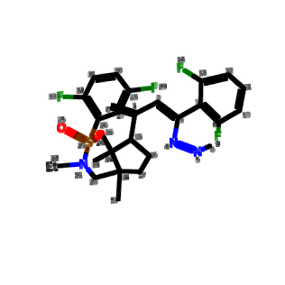 C=C(/C=C(\N=N/C)c1c(F)cccc1F)C1CCC(C)(CN(CC)S(=O)(=O)c2cc(F)ccc2F)C1(C)C